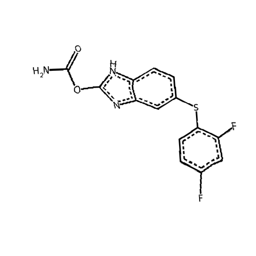 NC(=O)Oc1nc2cc(Sc3ccc(F)cc3F)ccc2[nH]1